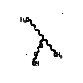 CCCCCCCCC(CCCCCC)COCCOCCO